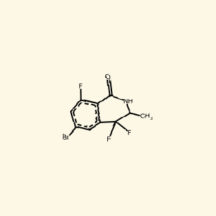 CC1NC(=O)c2c(F)cc(Br)cc2C1(F)F